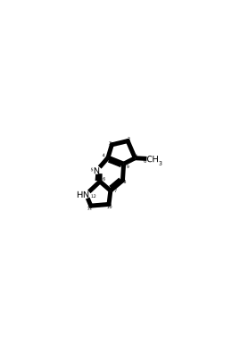 CC1CCc2nc3c(cc21)CCN3